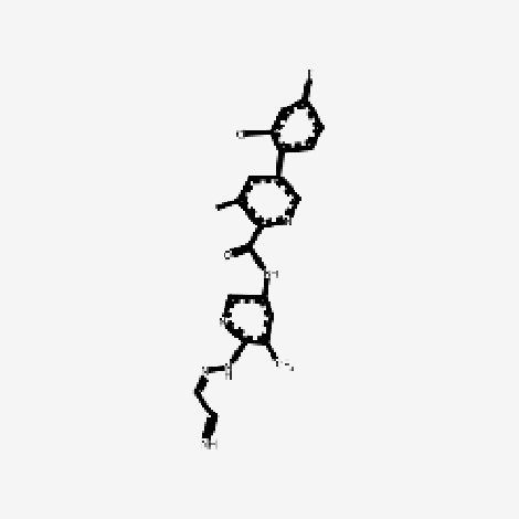 Cc1cc(-c2ccc(F)cc2Cl)cnc1C(=O)Nc1cnc(N/N=C\C=N)c(C(F)(F)F)c1